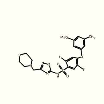 COc1cc(C)cc(Oc2cc(F)c(S(=O)(=O)Nc3nc(CN4CCOCC4)ns3)cc2F)c1